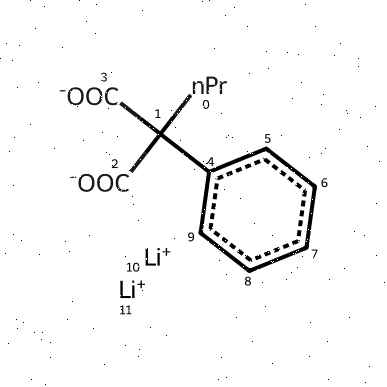 CCCC(C(=O)[O-])(C(=O)[O-])c1ccccc1.[Li+].[Li+]